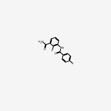 NC(=O)c1cccc(NC(=O)c2ccc(F)cc2)c1F